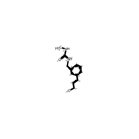 CNC(=O)NCc1cccc(C=CC[O])c1